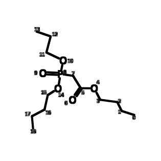 CCCCOC(=O)CP(=O)(OCCC)OCCCC